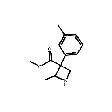 COC(=O)C1(c2cccc(C)c2)CNC1C